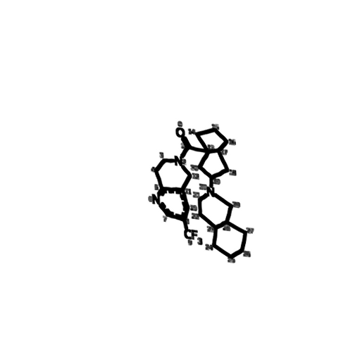 O=C(N1CCc2ncc(C(F)(F)F)cc2C1)C12CCCC1CC(N1CCC3CCCCC3C1)C2